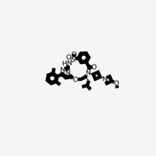 COC1CN([C@H]2C[C@@H](N3C(=O)c4cccc(c4)S(=O)(=O)Nc4nc(cc(-c5c(C)cccc5C)n4)OC[C@H]3CC(C)C)C2)C1